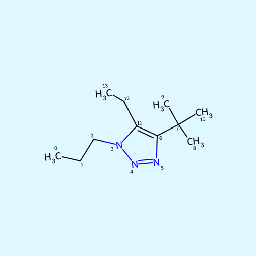 CCCn1nnc(C(C)(C)C)c1CC